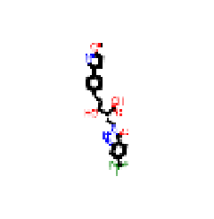 COc1ccc(-c2ccc(CC[C@@H](O)[C@H](CCn3nnc4cc(C(F)(F)F)ccc4c3=O)C(=O)O)cc2)cn1